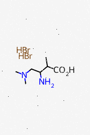 Br.Br.CC(C(=O)O)C(N)CN(C)C